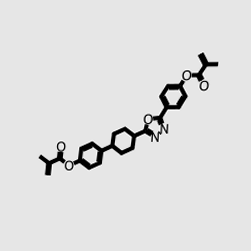 C=C(C)C(=O)Oc1ccc(-c2nnc(C3CCC(c4ccc(OC(=O)C(=C)C)cc4)CC3)o2)cc1